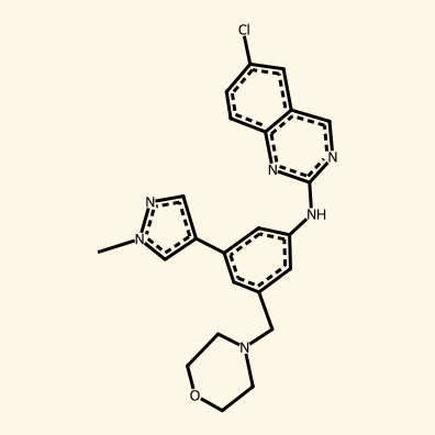 Cn1cc(-c2cc(CN3CCOCC3)cc(Nc3ncc4cc(Cl)ccc4n3)c2)cn1